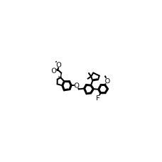 COC(=O)C[C@@H]1CCc2ccc(OCc3ccc(-c4cc(OC)ccc4F)c(C4=CCCC4(C)C)c3)cc21